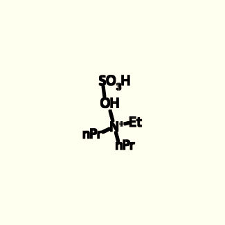 CCC[N+](C)(CC)CCC.O=S(=O)(O)O